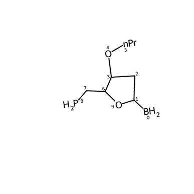 BC1CC(OCCC)C(CP)O1